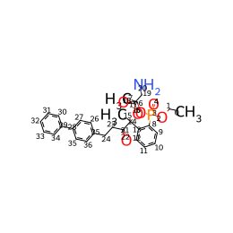 CCOP(=O)(OCC)c1ccccc1C(C)(OC(=O)CN)C(=O)CCc1ccc(-c2ccccc2)cc1